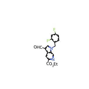 CCOC(=O)c1cc2c(C=O)cn(Cc3ccc(F)cc3F)c2cn1